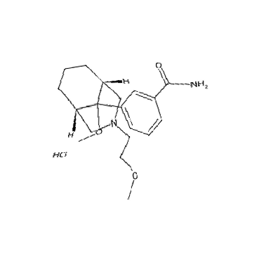 COCCN1C[C@H]2CCC[C@@H](C1)C2(OC)c1cccc(C(N)=O)c1.Cl